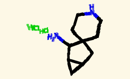 Cl.Cl.NC1C2CC2CC12CCNCC2